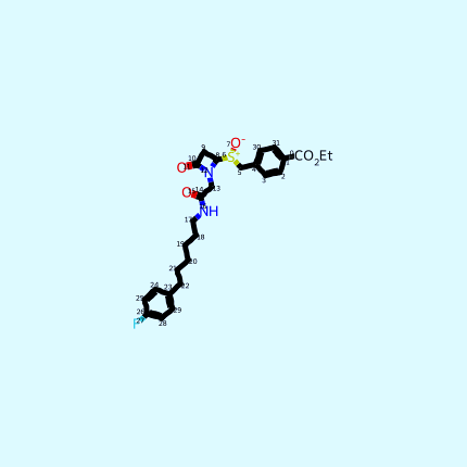 CCOC(=O)c1ccc(C[S+]([O-])C2CC(=O)N2CC(=O)NCCCCCCc2ccc(F)cc2)cc1